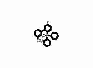 C[P+](c1ccccc1)(c1ccccc1)c1ccccc1-c1cccc(C(=O)O)c1.[Br-]